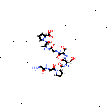 C[C@H](NC(=O)CNC(=O)[C@H](CO)NC(=O)[C@H](CO)NC(=O)[C@@H]1CCCN1C(=O)CNC(=O)CN)C(=O)N1CCC[C@H]1C(=O)O